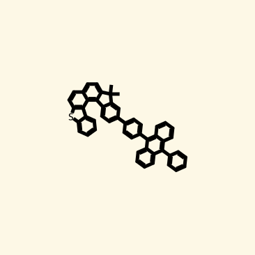 CC1(C)c2cc(-c3ccc(-c4c5ccccc5c(-c5ccccc5)c5ccccc45)cc3)ccc2-c2c1ccc1ccc3sc4ccccc4c3c21